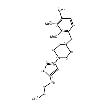 COc1ccc(CN2CCN([n+]3cc([N-]CCC=O)on3)CC2)c(OC)c1OC